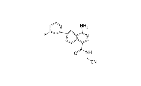 N#CCNC(=O)c1cnc(N)c2cc(-c3cccc(F)c3)ccc12